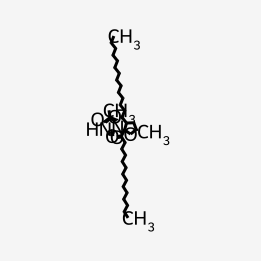 CCCCCCCCCCCCCC(=O)C1C[C@@H](C)O[C@@]1(C(=O)CCCCCCCCCCCCC)n1cc(C)c(=O)[nH]c1=O